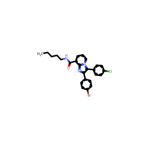 CCCCCNC(=O)c1cccn2c(-c3ccc(Cl)cc3)c(-c3ccc(Br)cc3)nc12